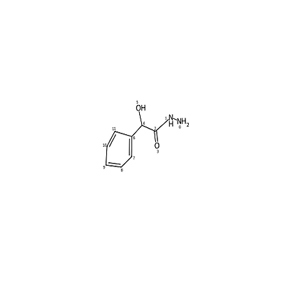 NNC(=O)C(O)c1ccccc1